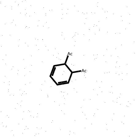 CC(=O)C1C=CC=CC1C(C)=O